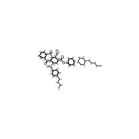 CCCCC[C@H]1CC[C@H](c2ccc(OC(=O)c3cc(Nc4ccc(CCCC)cc4)c4c(c3N)C(=O)c3ccccc3C4=O)cc2)CC1